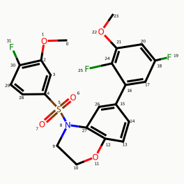 COc1cc(S(=O)(=O)N2CCOc3ccc(-c4cc(F)cc(OC)c4F)cc32)ccc1F